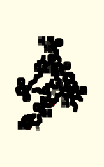 CCCO[C@H](C[C@H](C(C)C)N(CCC)C(=O)[C@@H](NC(=O)C(C(C)C(=O)OCc1ccc(NC(=O)[C@H](CCCNC(N)=O)NC(=O)[C@@H](NC(=O)CCCCCN2C(=O)C=CC2=O)C(C)C)cc1)[C@@H](C)CC)[C@@H](C)CC)c1nc(C(=O)N[C@@H](Cc2ccccc2)C[C@H](C)C(=O)O)cs1